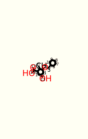 Cc1c(OCc2ccccc2)cc(O)cc1C(=O)O